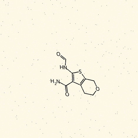 NC(=O)c1c(NC=O)sc2c1CCOC2